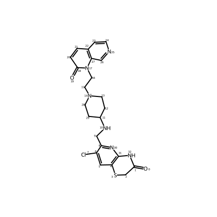 O=C1CSc2cc(Cl)c(CNC3CCN(CCn4c(=O)ccc5ccncc54)CC3)nc2N1